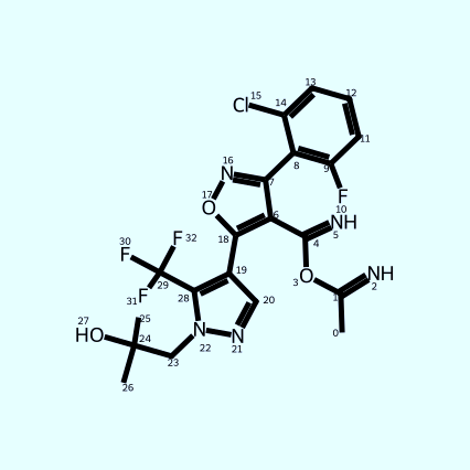 CC(=N)OC(=N)c1c(-c2c(F)cccc2Cl)noc1-c1cnn(CC(C)(C)O)c1C(F)(F)F